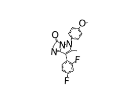 COc1ccc(N2C(C)=C(c3ccc(F)cc3F)C3=NCC(=O)N32)cc1